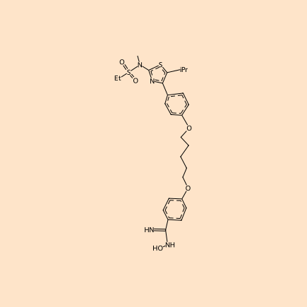 CCS(=O)(=O)N(C)c1nc(-c2ccc(OCCCCCOc3ccc(C(=N)NO)cc3)cc2)c(C(C)C)s1